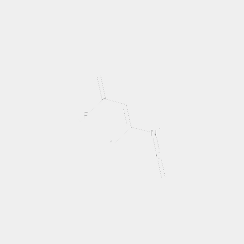 C=C=N/C(C)=C/C(=C)F